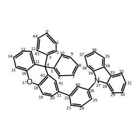 c1ccc(C2(c3ccccc3)c3ccccc3Oc3ccc(-c4cccc(-n5c6ccccc6c6ccccc65)c4)cc32)cc1